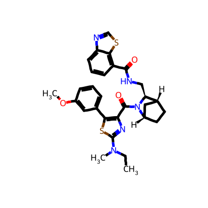 CCN(C)c1nc(C(=O)N2[C@H]3CC[C@H](C3)[C@@H]2CNC(=O)c2cccc3ncsc23)c(-c2cccc(OC)c2)s1